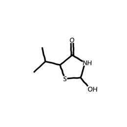 CC(C)C1SC(O)NC1=O